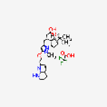 Cn1nc(CC(CC(=O)O)c2cccc(C(C)(C)C)c2)cc1OCCc1ccc2c(n1)NCCC2.O=C(O)C(F)(F)F